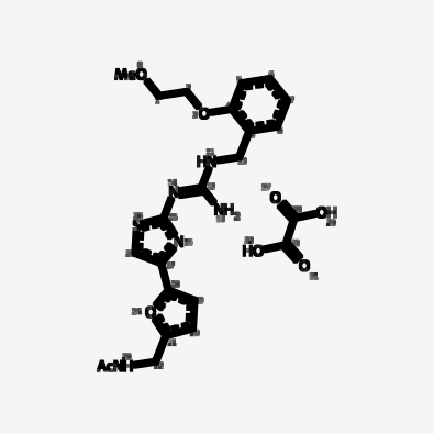 COCCOc1ccccc1CN/C(N)=N/c1nc(-c2ccc(CNC(C)=O)o2)cs1.O=C(O)C(=O)O